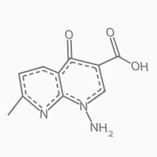 Cc1ccc2c(=O)c(C(=O)O)cn(N)c2n1